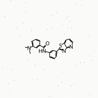 CN(C)c1cccc(C(=O)Nc2cccc(-c3nc4ncccc4s3)c2)c1